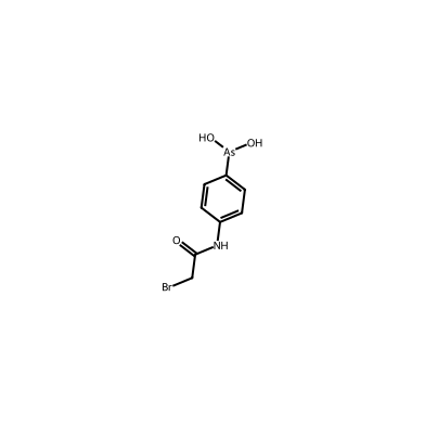 O=C(CBr)Nc1ccc([As](O)O)cc1